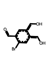 O=Cc1cc(=CO)c(=CO)cc1Br